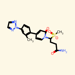 Cc1cc(-n2nccn2)ccc1-c1ccn(C(CCC(N)=O)S(C)(=O)=O)c(=O)c1